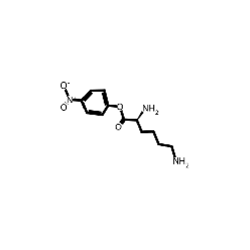 NCCCC[C@H](N)C(=O)Oc1ccc([N+](=O)[O-])cc1